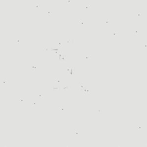 O=C(c1ccco1)N1CCN([C@@H]2CN(Cc3ccccc3)C[C@H]2O)CC1